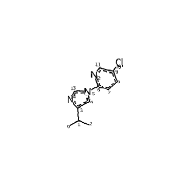 CC(C)c1cn(-c2ccc(Cl)cn2)cn1